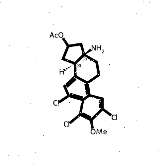 COc1c(Cl)cc2c3c(cc(Cl)c2c1Cl)[C@H]1CC(OC(C)=O)C[C@]1(N)CC3